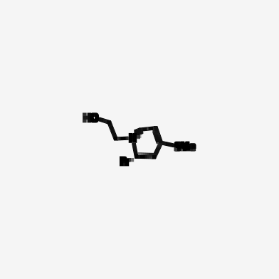 CSc1cc[n+](CCO)cc1.[Br-]